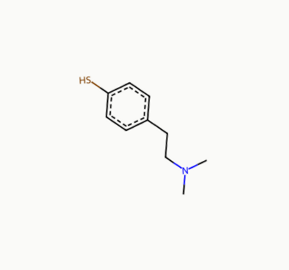 CN(C)CCc1ccc(S)cc1